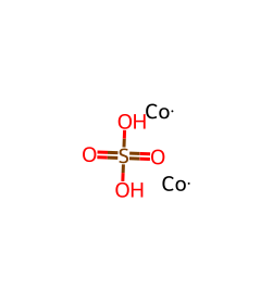 O=S(=O)(O)O.[Co].[Co]